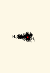 CC[C@@]1(C)CN(C(C)=O)CCN1c1nn(C2CC3(C2)CN(C(=O)OC(C)(C)C)C3)c(C)c1-c1c(Cl)c(C)cc2c1cnn2C1CCCCO1